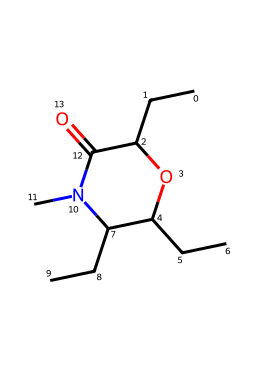 CCC1OC(CC)C(CC)N(C)C1=O